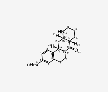 CCCCCCc1ccc2c(c1)CCN1C(=O)[C@H]3CCCN[C@H]3C[C@@H]21